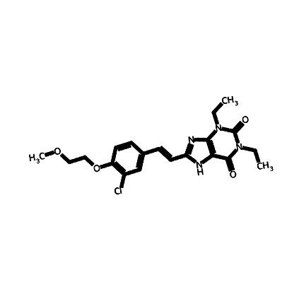 CCn1c(=O)c2[nH]c(C=Cc3ccc(OCCOC)c(Cl)c3)nc2n(CC)c1=O